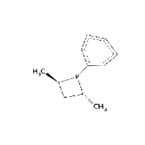 C[C@@H]1C[C@@H](C)P1c1ccccc1